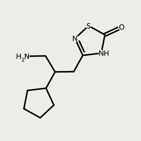 NCC(Cc1nsc(=O)[nH]1)C1CCCC1